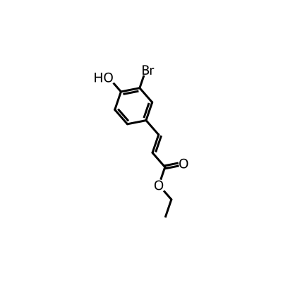 CCOC(=O)C=Cc1ccc(O)c(Br)c1